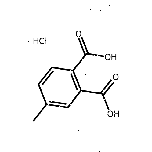 Cc1ccc(C(=O)O)c(C(=O)O)c1.Cl